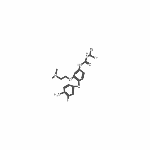 CCC(CC)NC(=O)Nc1ccc(Oc2ccc(N)c(F)c2)c(OCCN(C)C)c1